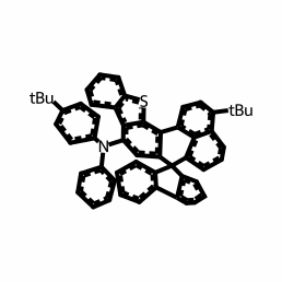 CC(C)(C)c1ccc(N(c2ccccc2)c2cc3c(c4sc5ccccc5c24)-c2ccc(C(C)(C)C)c4cccc(c24)C32c3ccccc3-c3ccccc32)cc1